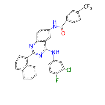 O=C(Nc1ccc2nc(-c3cccc4ccccc34)nc(Nc3ccc(F)c(Cl)c3)c2c1)c1ccc(C(F)(F)F)cc1